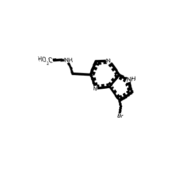 O=C(O)NCc1cnc2[nH]cc(Br)c2n1